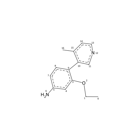 CCOc1cc(N)ccc1-c1cnccc1C